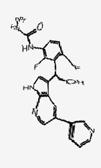 CCCNC(=O)Nc1ccc(F)c(C(O)c2c[nH]c3ncc(-c4cccnc4)cc23)c1F